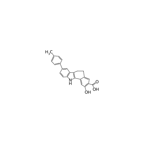 Cc1ccc(-c2ccc3[nH]c4c(c3c2)CCc2cc(C(=O)O)c(O)cc2-4)cc1